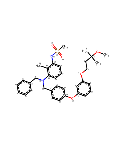 COC(C)(C)CCOc1cccc(Oc2ccc(CN(Cc3ccccc3)c3cccc(NS(C)(=O)=O)c3C)cc2)c1